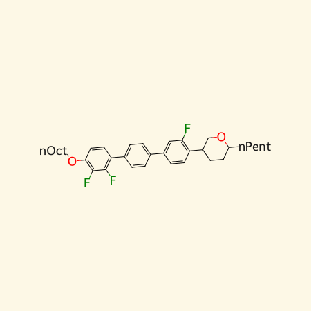 CCCCCCCCOc1ccc(-c2ccc(-c3ccc(C4CCC(CCCCC)OC4)c(F)c3)cc2)c(F)c1F